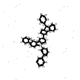 c1ccc(-c2cccc(-n3c4ccc(-c5ccc6c(c5)-c5ccccc5C6c5ccccc5)cc4c4c5sc6ccccc6c5ccc43)c2)cc1